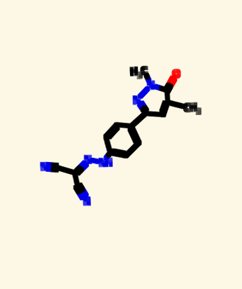 Cc1cc(-c2ccc(NN=C(C#N)C#N)cc2)nn(C)c1=O